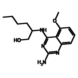 CCCCC(CO)Nc1nc(N)nc2cccc(OC)c12